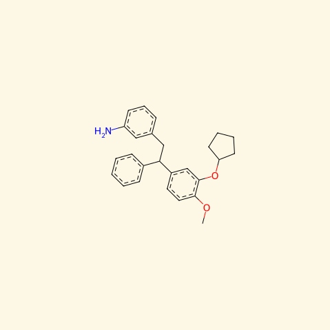 COc1ccc(C(Cc2cccc(N)c2)c2ccccc2)cc1OC1CCCC1